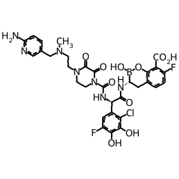 CN(CCN1CCN(C(=O)N[C@@H](C(=O)N[C@H]2Cc3ccc(F)c(C(=O)O)c3OB2O)c2cc(F)c(O)c(O)c2Cl)C(=O)C1=O)Cc1ccc(N)nc1